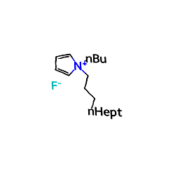 CCCCCCCCCC[N+]1(CCCC)C=CC=C1.[F-]